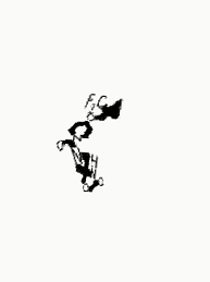 O=C1COCC2(CN(C(=O)N3CCC(OCC4(C(F)(F)F)CC4)CC3)C2)N1